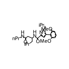 CCCNC(=O)CC(CC(C)C)NC(=O)c1cc(-c2c(OC)cccc2OC)n(CC(C)C)n1